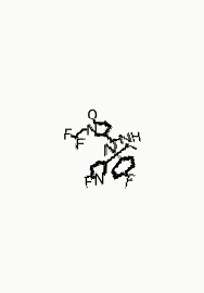 C[C@@H]1NC(c2ccc(=O)n(CC(F)F)c2)=N[C@]1(c1ccc(F)cc1)c1ccc(F)nc1